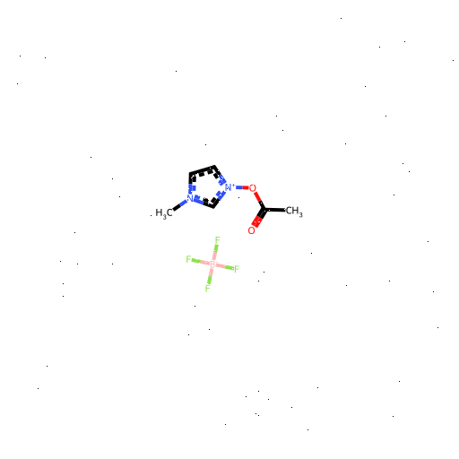 CC(=O)O[n+]1ccn(C)c1.F[B-](F)(F)F